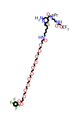 CCCN(CCCNC(=O)COC(F)(F)F)C(=O)C1=Cc2sc(CCCCCNC(=O)CCOCCOCCOCCOCCOCCOCCOCCOCCOCCOCCC(=O)Oc3c(F)c(F)cc(F)c3F)cc2N=C(N)C1